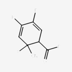 N#CC1(F)C=C(F)C(F)=CC1C(=O)F